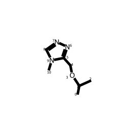 CC(C)OCc1nncn1C